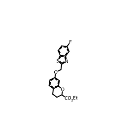 CCOC(=O)C1CCc2ccc(OCc3nc4cc(F)ccc4s3)cc2O1